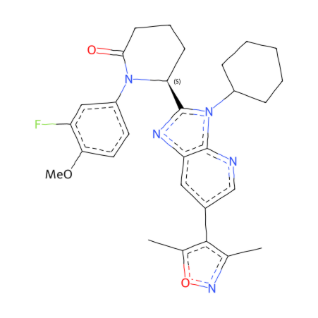 COc1ccc(N2C(=O)CCC[C@H]2c2nc3cc(-c4c(C)noc4C)cnc3n2C2CCCCC2)cc1F